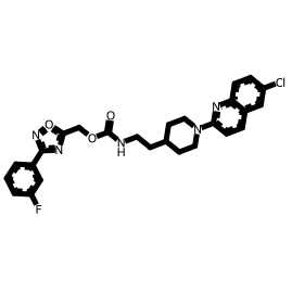 O=C(NCCC1CCN(c2ccc3cc(Cl)ccc3n2)CC1)OCc1nc(-c2cccc(F)c2)no1